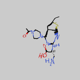 CCc1cc2c(N3CCN(C(C)=O)CC3)nc(N[C@H](CN)C(=O)O)nc2s1